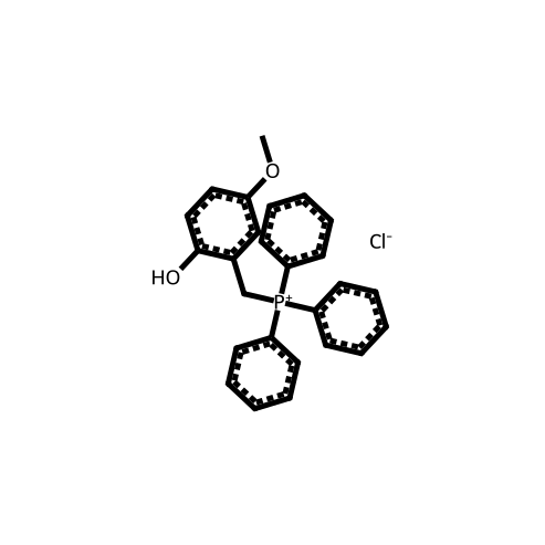 COc1ccc(O)c(C[P+](c2ccccc2)(c2ccccc2)c2ccccc2)c1.[Cl-]